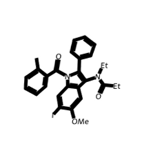 CCC(=O)N(CC)c1c(-c2ccccc2)n(C(=O)c2ccccc2C)c2cc(I)c(OC)cc12